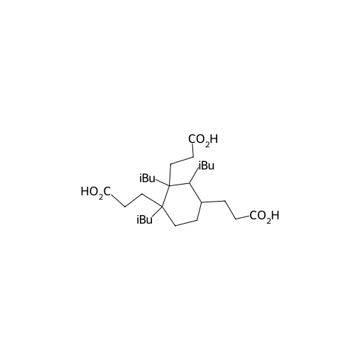 CCC(C)C1C(CCC(=O)O)CCC(CCC(=O)O)(C(C)CC)C1(CCC(=O)O)C(C)CC